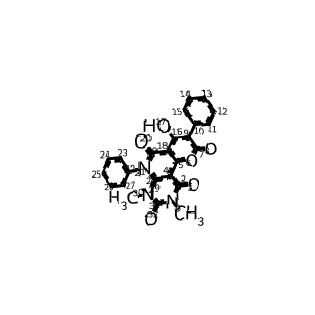 Cn1c(=O)c2c3oc(=O)c(-c4ccccc4)c(O)c3c(=O)n(-c3ccccc3)c2n(C)c1=O